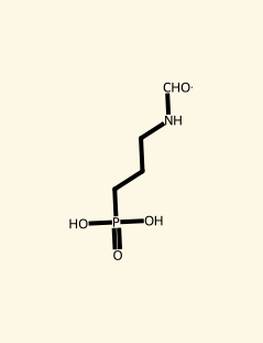 O=[C]NCCCP(=O)(O)O